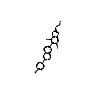 CCCC1=Cc2cc(F)c(-c3ccc4cc(-c5ccc(F)cc5)ccc4c3)c(F)c2C1